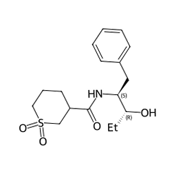 CC[C@@H](O)[C@H](Cc1ccccc1)NC(=O)C1CCCS(=O)(=O)C1